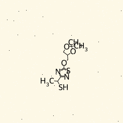 CC(S)c1nsc(OCC2COC(C)(C)O2)n1